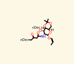 C/C=C\O[C@H]1O[C@@H]2COC(C)(C)O[C@H]2[C@H](OCCCCCCCCCC)[C@H]1NC(=O)CC(=O)CCCCCCCCCCC